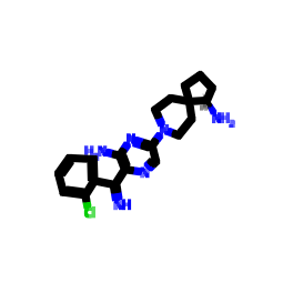 N=C(c1ccccc1Cl)c1ncc(N2CCC3(CCC[C@H]3N)CC2)nc1N